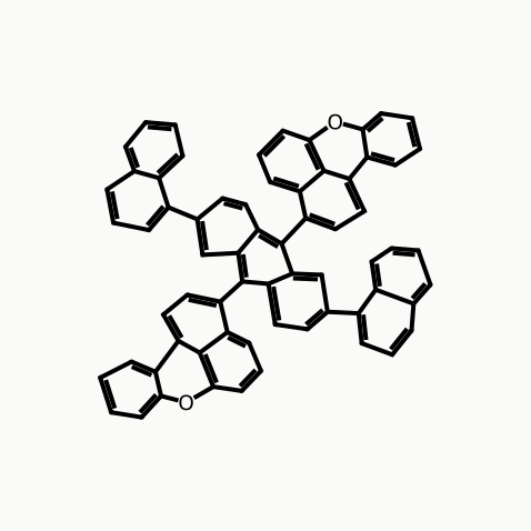 c1ccc2c(c1)Oc1cccc3c(-c4c5ccc(-c6cccc7ccccc67)cc5c(-c5ccc6c7c(cccc57)Oc5ccccc5-6)c5ccc(-c6cccc7ccccc67)cc45)ccc-2c13